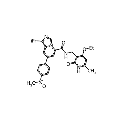 CCOc1cc(C)[nH]c(=O)c1CNC(=O)c1cc(-c2ccc([S+](C)[O-])cc2)cc2c(C(C)C)ncn12